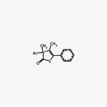 CC(=O)[N+]1(C)C(=O)SC(c2ccccc2)=C1C